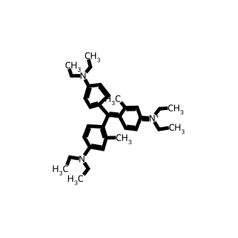 CCN(CC)c1ccc(/C(=C2/C=CC(=[N+](CC)CC)C=C2C)c2ccc(N(CC)CC)cc2C)cc1